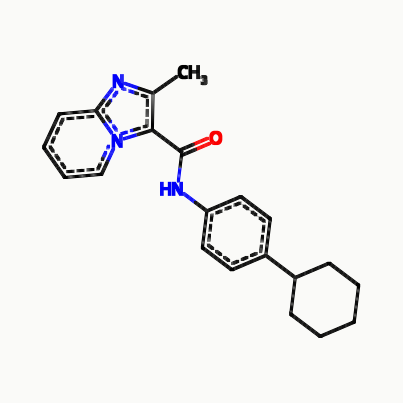 Cc1nc2ccccn2c1C(=O)Nc1ccc(C2CCCCC2)cc1